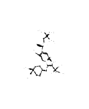 CC(C)(O)CNC(=O)c1cc2nc(C(C)(F)F)c(CC3CCC(F)(F)CC3)n2cc1Cl